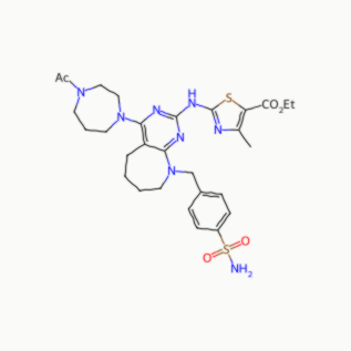 CCOC(=O)c1sc(Nc2nc(N3CCCN(C(C)=O)CC3)c3c(n2)N(Cc2ccc(S(N)(=O)=O)cc2)CCCC3)nc1C